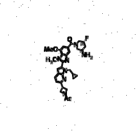 COc1cc(C(=O)N2C[C@H](N)C[C@@H](F)C2)cc2nc(-c3cc4ccc(C5CN(C(C)=O)C5)nc4n3CC3CC3)n(C)c12